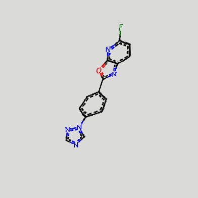 Fc1ccc2nc(-c3ccc(-n4cncn4)cc3)oc2n1